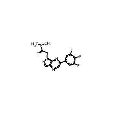 CN(C)C(=O)Cn1ncc2ncc(-c3cc(F)c(F)c(F)c3)nc21